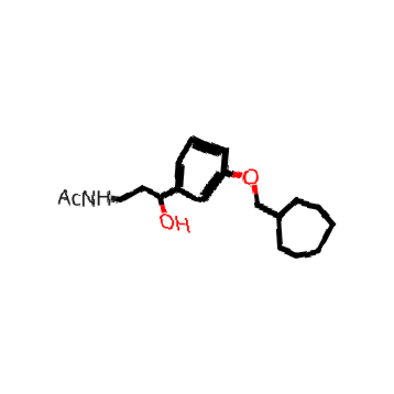 CC(=O)NCCC(O)c1cccc(OCC2CCCCCC2)c1